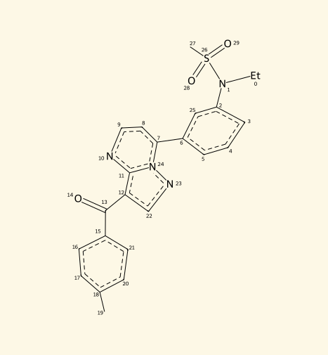 CCN(c1cccc(-c2ccnc3c(C(=O)c4ccc(C)cc4)cnn23)c1)S(C)(=O)=O